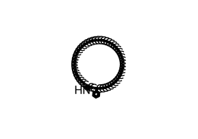 c1ccc(C2CCCCCCCCCCCCCCCCCCCCCCCCCCCCCCCCCCCCCCCCCCCCCCCCC3(CC2)CNC3)cc1